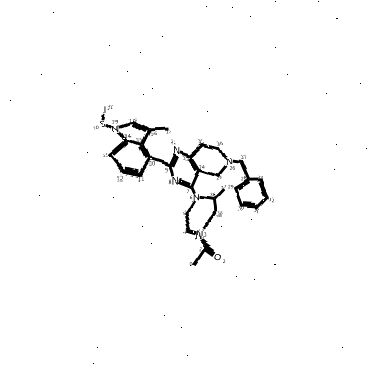 CC(=O)N1CCN(c2nc(-c3cccc4c3c(C)cn4SI)nc3c2CN(Cc2ccccc2)CC3)C(C)C1